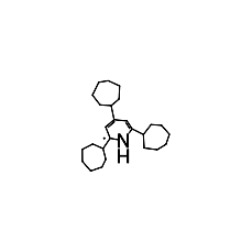 C1=C(C2CCCCCC2)C=C(C2CCCCCC2)N[C]1C1CCCCCC1